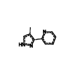 Cc1c[nH]nc1-c1ccccn1